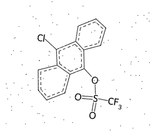 O=S(=O)(Oc1c2ccccc2c(Cl)c2ccccc12)C(F)(F)F